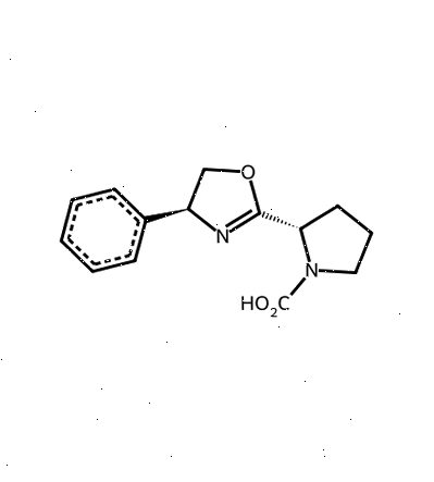 O=C(O)N1CCC[C@H]1C1=N[C@@H](c2ccccc2)CO1